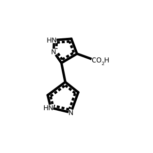 O=C(O)c1c[nH]nc1-c1cn[nH]c1